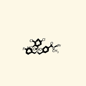 CC(C)N(C)C(=O)c1ccc(CN(Cc2ccc(F)cc2)S(=O)(=O)c2cc(Cl)cc(Cl)c2O)cc1